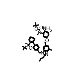 CCCc1nc2c(C)cc(COc3ccc(N)c(N(C)C(=O)OC(C)(C)C)c3)cc2n1Cc1ccc(-c2ccccc2C(=O)OC(C)(C)C)cc1